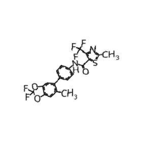 Cc1nc(C(F)(F)F)c(C(=O)Nc2ccc(-c3cc4c(cc3C)OC(F)(F)O4)cc2)s1